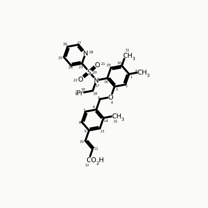 Cc1cc(OCc2ccc(C=CC(=O)O)cc2C)c(N(CC(C)C)S(=O)(=O)c2ccccn2)cc1C